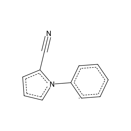 N#Cc1cccn1-c1[c]cccc1